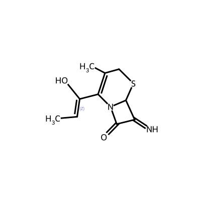 C/C=C(\O)C1=C(C)CSC2C(=N)C(=O)N12